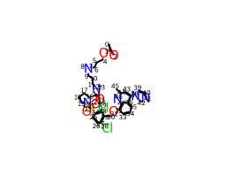 CC(=O)OCCCN(C)CCCN(C)C(=O)[C@@H]1CCCN1S(=O)(=O)c1ccc(Cl)c(COc2cccc3c(-n4ccnc4)cc(C)nc23)c1Cl